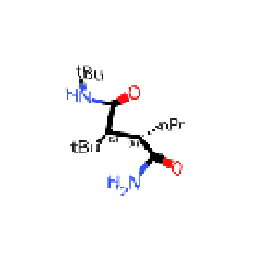 CCC[C@H](C(N)=O)[C@H](C(=O)NC(C)(C)C)C(C)(C)C